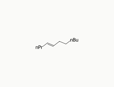 [CH2]CCC=CCCCCC[CH2]